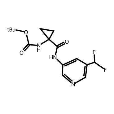 CC(C)(C)OC(=O)NC1(C(=O)Nc2cncc(C(F)F)c2)CC1